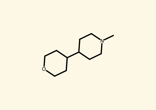 CN1CCC(C2CCOCC2)CC1